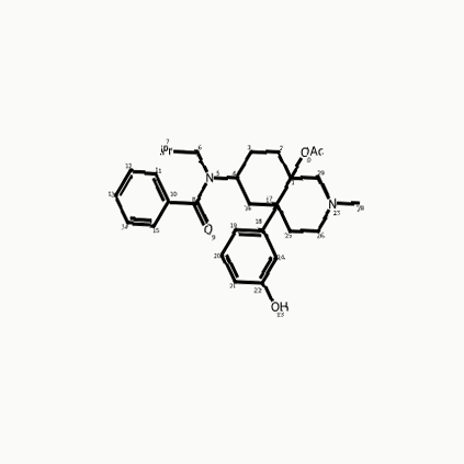 CC(=O)OC12CCC(N(CC(C)C)C(=O)c3ccccc3)CC1(c1cccc(O)c1)CCN(C)C2